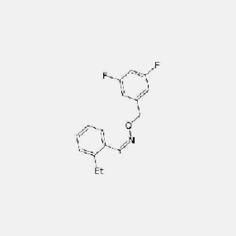 CCc1ccccc1/[C]=N\OCc1cc(F)cc(F)c1